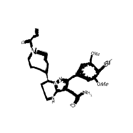 C=CC(=O)N1CCC([C@@H]2CCNc3c(C(N)=O)c(-c4cc(OC)c(Br)c(OC)c4)nn32)CC1